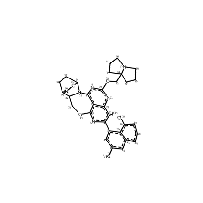 Oc1cc(-c2nc3c4c(nc(OCC56CCCN5CCC6)nc4c2F)N2C4CCC(NC4)C2CO3)c2c(Cl)cccc2c1